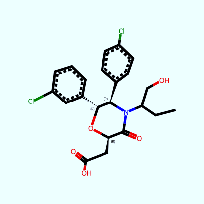 CCC(CO)N1C(=O)[C@@H](CC(=O)O)O[C@H](c2cccc(Cl)c2)[C@H]1c1ccc(Cl)cc1